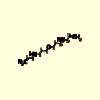 C=CCNCCCOCCCNCC=C